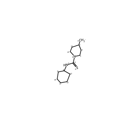 [CH2]C1CCN(C(=S)NC2CCCCC2)CC1